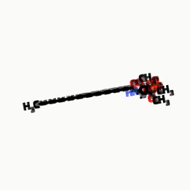 CC#CC#CC#CC#CC#CC#CC#CC#CC#CC#CC(=O)N[C@@H]1C[C@H](COC)[C@H](OP(=O)(O)OC)C1OC